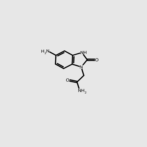 NC(=O)Cn1c(=O)[nH]c2cc(N)ccc21